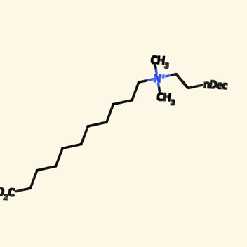 CCCCCCCCCCCC[N+](C)(C)CCCCCCCCCCC(=O)O